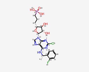 C[C@H](Nc1nc(Cl)nc2c1ncn2[C@@H]1O[C@H](CCCP(=O)(O)O)C(O)[C@@H]1O)c1ccccc1F